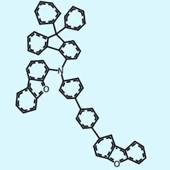 c1ccc(C2(c3ccccc3)c3ccccc3-c3c(N(c4ccc(-c5ccc(-c6ccc7oc8ccccc8c7c6)cc5)cc4)c4cccc5c4oc4ccccc45)cccc32)cc1